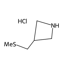 CSCC1CNC1.Cl